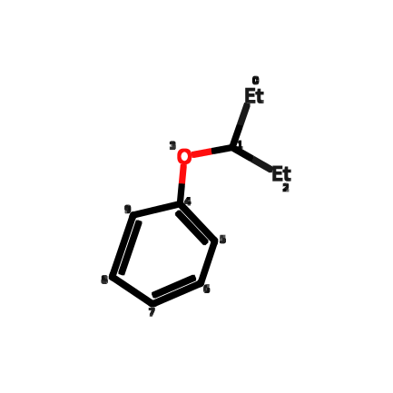 CCC(CC)Oc1ccccc1